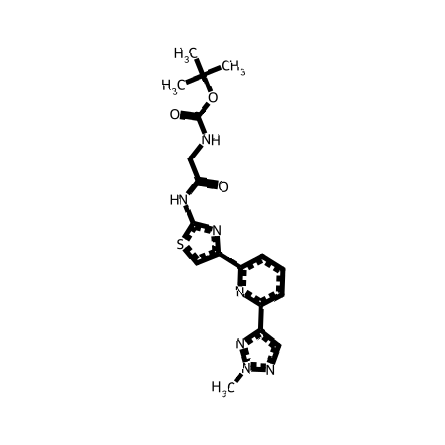 Cn1ncc(-c2cccc(-c3csc(NC(=O)CNC(=O)OC(C)(C)C)n3)n2)n1